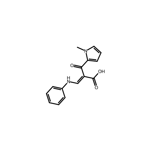 Cn1cccc1C(=O)/C(=C\Nc1ccccc1)C(=O)O